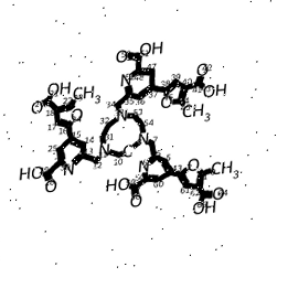 Cc1oc(-c2cc(CN3CCN(Cc4cc(-c5cc(C(=O)O)c(C)o5)cc(C(=O)O)n4)CCN(Cc4cc(-c5cc(C(=O)O)c(C)o5)cc(C(=O)O)n4)CC3)nc(C(=O)O)c2)cc1C(=O)O